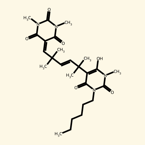 CCCCCCn1c(=O)c(C(C)(C)C=CC(C)(C)C=C2C(=O)N(C)C(=O)N(C)C2=O)c(O)n(C)c1=O